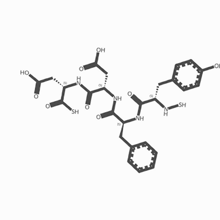 O=C(O)C[C@H](NC(=O)[C@H](CC(=O)O)NC(=O)[C@H](Cc1ccccc1)NC(=O)[C@H](Cc1ccc(O)cc1)NS)C(=O)S